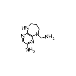 NCN1CCCNc2ncc(N)nc21